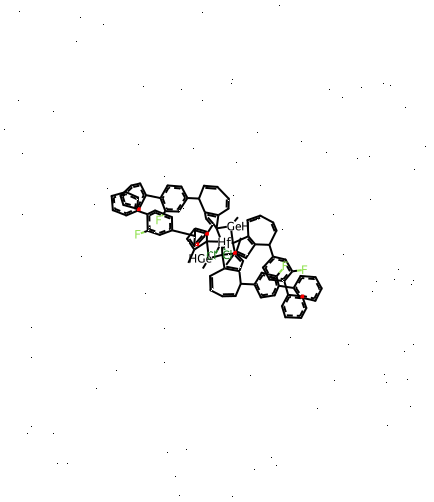 CC1=CC2=C(C=CC=CC2c2ccc(-c3ccccc3)c(F)c2)[C]12[GeH]([CH3])[C]1(C(C)=CC3=C1C=CC=CC3c1ccc(-c3ccccc3)c(F)c1)[Hf]21([Cl])([Cl])[C]2(C(C)=CC3=C2C=CC=CC3c2ccc(-c3ccccc3)c(F)c2)[GeH]([CH3])[C]12C(C)=CC1=C2C=CC=CC1c1ccc(-c2ccccc2)c(F)c1